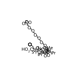 CC[C@H](C)[C@@H]([C@@H](CC(=O)N1CCC[C@H]1[C@H](OC)[C@@H](C)C(=S)N[C@@H](Cc1ccccc1)C(=O)O)OC)N(C)[C@H](C(=O)NC(=O)[C@H](C(C)C)N(C)C(=O)CCOCCOCCOCCOCCOCCOCCN1C(=O)C=CC1=O)C(C)C